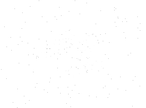 CC1(C)c2ccccc2-c2ccc3c(c21)c1ccccc1n3-c1cc(-c2nc(-c3ccccc3)nc(-c3ccccc3)n2)c2sc3ccccc3c2c1